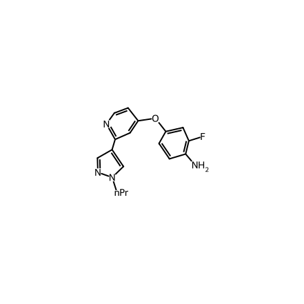 CCCn1cc(-c2cc(Oc3ccc(N)c(F)c3)ccn2)cn1